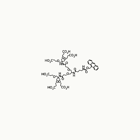 O=C(O)CCOCC(COCCC(=O)O)(COCCC(=O)O)NC(=O)CCOCC(COCCC(=O)NC(COCCC(=O)O)(COCCC(=O)O)COCCC(=O)O)NC(=O)CCCNC(=O)OCc1c2ccccc2cc2ccccc12